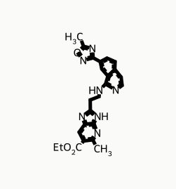 CCOC(=O)c1cc2nc(CCNc3nccc4ccc(-c5noc(C)n5)cc34)[nH]c2nc1C